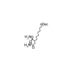 CCCCCCCCCCCCCCCCCC(CC(=O)ON)C(=O)ON